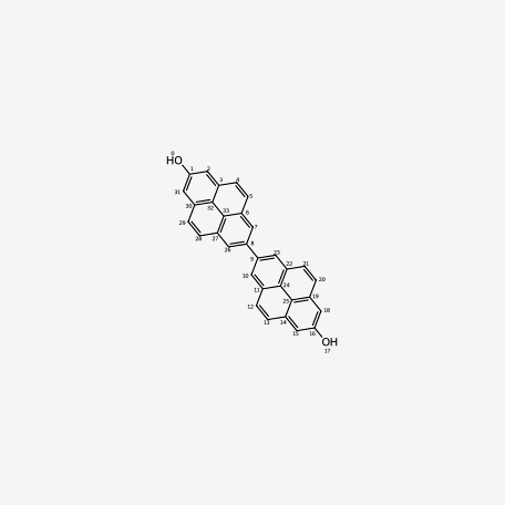 Oc1cc2ccc3cc(-c4cc5ccc6cc(O)cc7ccc(c4)c5c67)cc4ccc(c1)c2c34